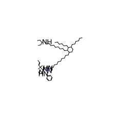 C=NC(N/C(=N\NCCCCCCCCCC1CCC(CCCCCC)C(CCCCCC)C1CCCCCCCCCNC(CC)CC)Nc1ccccc1)C(C)(C)C=CC